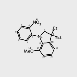 CCC1(CC)CN(c2ccccc2[N+](=O)[O-])c2c(OC)cccc21